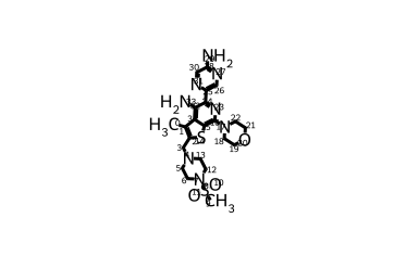 Cc1c(CN2CCN(S(C)(=O)=O)CC2)sc2c(N3CCOCC3)nc(-c3cnc(N)cn3)c(N)c12